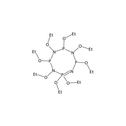 CCON1P(OCC)N=P(OCC)(OCC)N(OCC)P(OCC)N(OCC)P1OCC